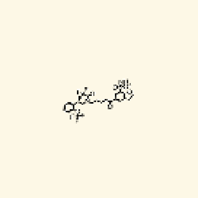 NS(=O)(=O)c1cc(C(=O)CCCCN(CCc2ccccc2OC(F)(F)F)C(=O)C(F)(F)F)cc2c1OCC2